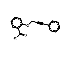 O=C(O)c1ccccc1OCC#Cc1ccccc1